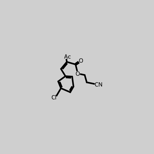 CC(=O)C(=Cc1cccc(Cl)c1)C(=O)OCCC#N